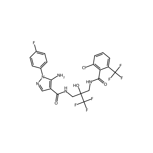 Nc1c(C(=O)NCC(O)(CNC(=O)c2c(Cl)cccc2C(F)(F)F)C(F)(F)F)cnn1-c1ccc(F)cc1